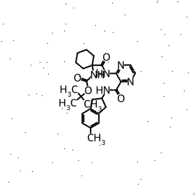 Cc1ccc2c(c1)CC(NC(=O)c1nccnc1NC(=O)C1(NC(=O)OC(C)(C)C)CCCCC1)C2